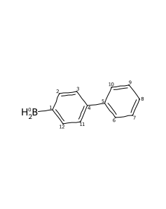 Bc1ccc(-c2ccccc2)cc1